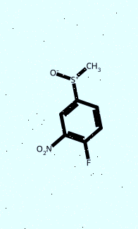 C[S+]([O-])c1ccc(F)c([N+](=O)[O-])c1